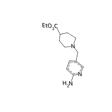 CCOC(=O)C1CCN(Cc2ccc(N)nc2)CC1